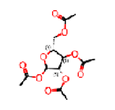 CC(=O)OC[C@H]1OC(OC(C)=O)[C@@H](OC(C)=O)[C@@H]1OC(C)=O